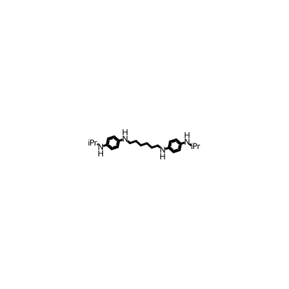 CC(C)Nc1ccc(NCCCCCCNc2ccc(NC(C)C)cc2)cc1